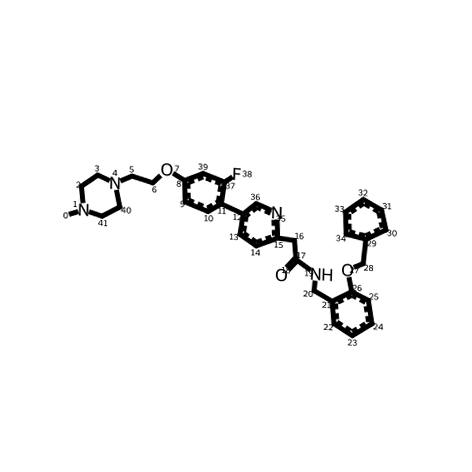 CN1CCN(CCOc2ccc(-c3ccc(CC(=O)NCc4ccccc4OCc4ccccc4)nc3)c(F)c2)CC1